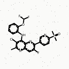 Cc1nc2cc(F)c(-c3ccc(P(C)(C)=O)nc3)nc2c(Nc2ccccc2OC(F)F)c1Cl